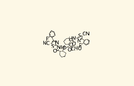 N#Cc1sc(NC(=O)C2CCCCC2OC(=O)C2(OC=O)CCCCC2C(=O)Nc2nc(-c3ccccc3F)c(C#N)s2)nc1-c1ccccc1F